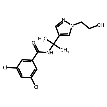 CC(C)(NC(=O)c1cc(Cl)cc(Cl)c1)c1cnn(CCO)c1